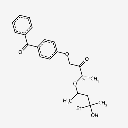 CCC(C)(O)CC(C)O[C@@H](C)C(=O)COc1ccc(C(=O)c2ccccc2)cc1